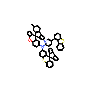 CC1C=CC2=C(C1)C1(c3ccccc3Oc3ccc(N(c4ccc5c(c4)C4(c6ccccc6S5)c5ccccc5-c5ccccc54)c4ccc(-c5cccc6sc7ccccc7c56)cn4)cc31)c1ccccc12